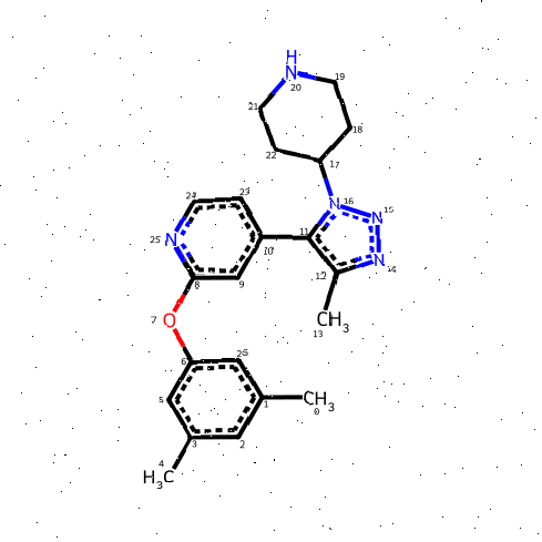 Cc1cc(C)cc(Oc2cc(-c3c(C)nnn3C3CCNCC3)ccn2)c1